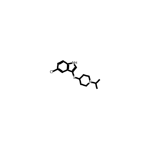 CC(C)N1CCC(Sc2c[nH]c3ccc(Cl)cc23)CC1